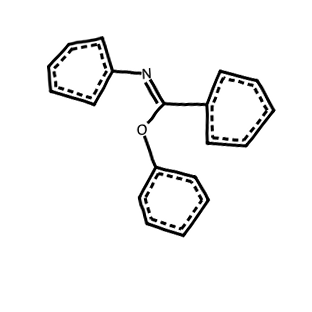 c1ccc(N=C(Oc2ccccc2)c2ccccc2)cc1